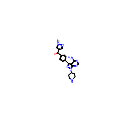 CC(=O)n1cc(C(=O)c2ccc(-c3nn(C4CCNCC4)c4ncnc(N)c34)cc2)cn1